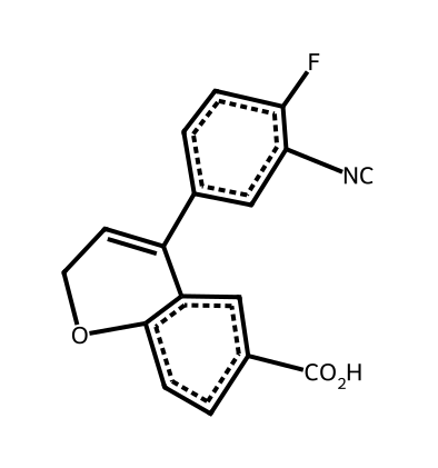 [C-]#[N+]c1cc(C2=CCOc3ccc(C(=O)O)cc32)ccc1F